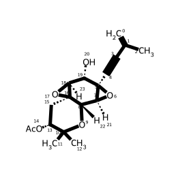 C=C(C)C#C[C@]12O[C@H]1[C@@H]1OC(C)(C)[C@H](OC(C)=O)C[C@@]13O[C@H]3[C@@H]2O